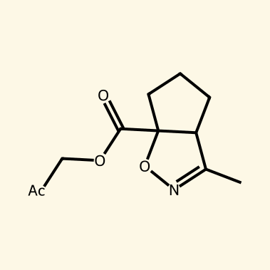 CC(=O)COC(=O)C12CCCC1C(C)=NO2